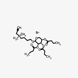 C#CC[N+](C)(C)CCCCOC1OC[C@@H](OC(=O)CCC)[C@@H](OC(=O)CCC)[C@H]1OC(=O)CCC.[Br-]